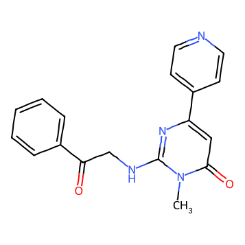 Cn1c(NCC(=O)c2ccccc2)nc(-c2ccncc2)cc1=O